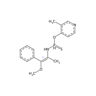 CO/C(=C(\C)N[PH](=S)Oc1ccncc1C)c1ccccc1